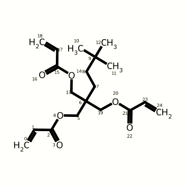 C=CC(=O)OCC(CCC(C)(C)C)(COC(=O)C=C)COC(=O)C=C